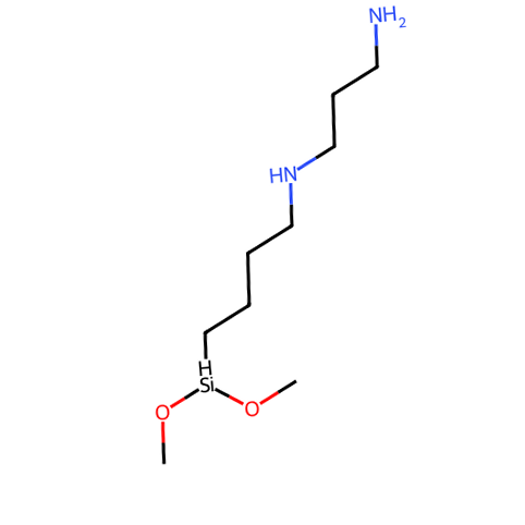 CO[SiH](CCCCNCCCN)OC